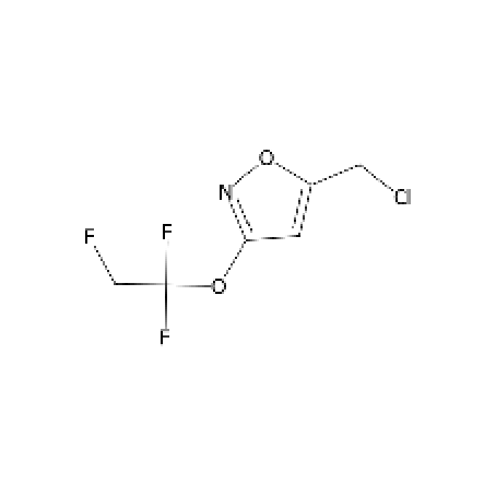 FCC(F)(F)Oc1cc(CCl)on1